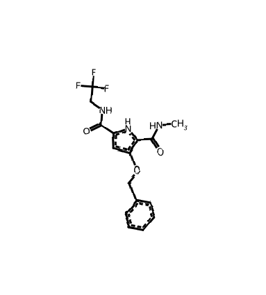 CNC(=O)c1[nH]c(C(=O)NCC(F)(F)F)cc1OCc1ccccc1